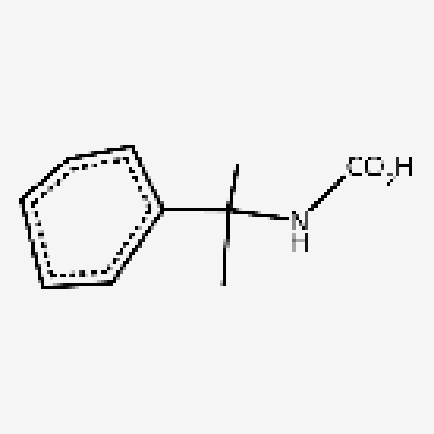 CC(C)(NC(=O)O)c1ccccc1